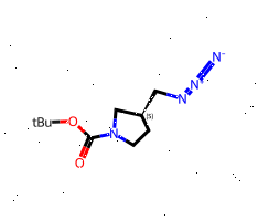 CC(C)(C)OC(=O)N1CC[C@H](CN=[N+]=[N-])C1